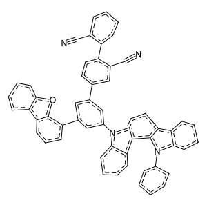 N#Cc1ccccc1-c1ccc(-c2cc(-c3cccc4c3oc3ccccc34)cc(-n3c4ccccc4c4c3ccc3c5ccccc5n(-c5ccccc5)c34)c2)cc1C#N